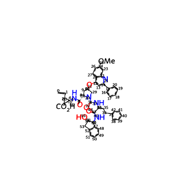 C=C[C@@H]1C[C@@]1(NC(=O)[C@@H]1C[C@@H](Oc2cc(-c3ccccc3)nc3cc(OC)ccc23)CN1C(=O)N[C@@H](CCc1ccccc1)C(=O)N[C@H]1c2ccccc2C[C@H]1O)C(=O)O